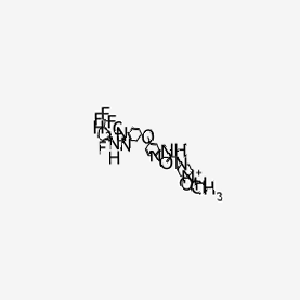 CC[N+]1(O)CCN(CC(=O)Nc2cc(Oc3ccc4c(c3)nc(Nc3cc(C(F)(F)F)ccc3F)n4C)ccn2)CC1